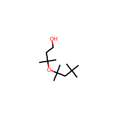 CC(C)(C)CC(C)(C)OC(C)(C)CCO